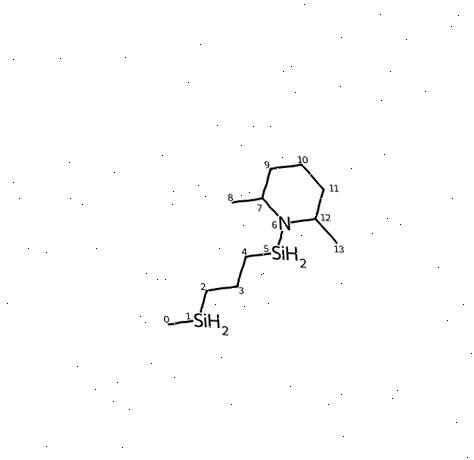 C[SiH2]CCC[SiH2]N1C(C)CCCC1C